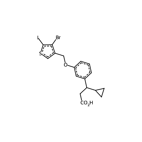 O=C(O)CC(c1cccc(OCc2csc(I)c2Br)c1)C1CC1